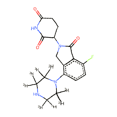 [2H]C1([2H])NC([2H])([2H])C([2H])([2H])N(c2ccc(F)c3c2CN(C2CCC(=O)NC2=O)C3=O)C1([2H])[2H]